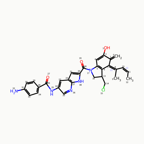 C=c1c(O)cc2c(/c1=C(C)/C=C\C)C(CCl)CN2C(=O)c1cc2cc(NC(=O)c3ccc(N)cc3)cnc2[nH]1